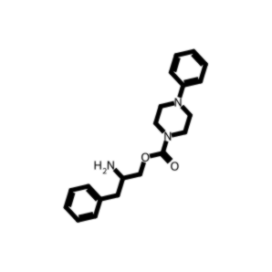 NC(COC(=O)N1CCN(c2ccccc2)CC1)Cc1ccccc1